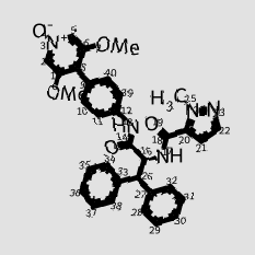 COc1c[n+]([O-])cc(OC)c1-c1ccc(NC(=O)[C@@H](NC(=O)c2ccnn2C)C(c2ccccc2)c2ccccc2)cc1